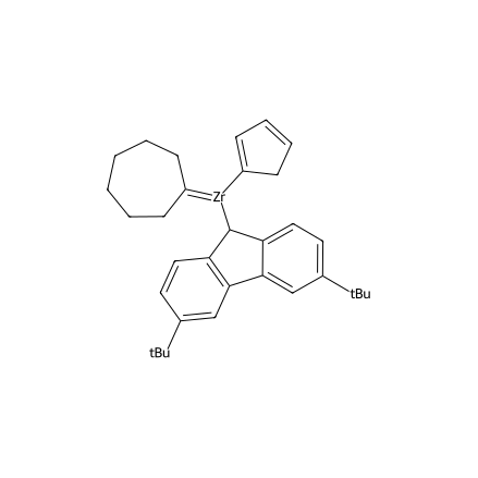 CC(C)(C)c1ccc2c(c1)-c1cc(C(C)(C)C)ccc1[CH]2[Zr]([C]1=CC=CC1)=[C]1CCCCCC1